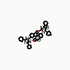 c1ccc(-c2nc(-c3ccccc3)nc(-c3ccc4c(c3)C3(c5ccccc5Oc5ccccc53)c3cc(-c5nc(-c6ccccc6)c6oc7ccccc7c6n5)ccc3-4)n2)cc1